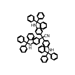 N#CC(c1ccc(NC(c2ccccc2)(c2ccccc2)c2ccccc2)cc1)(c1ccc(NC(c2ccccc2)(c2ccccc2)c2ccccc2)cc1)c1ccc(NC(c2ccccc2)(c2ccccc2)c2ccccc2)cc1